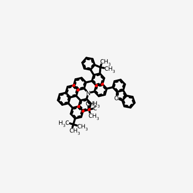 CC(C)(C)c1cc(-c2cccc3cccc(-c4ccccc4N(c4ccc(-c5cccc6c5oc5ccccc56)cc4)c4ccccc4-c4cccc5c4-c4ccccc4C5(C)C)c23)cc(C(C)(C)C)c1